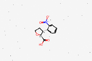 O=C(O)[C@H]1OCC[C@@H]1c1ccccc1[N+](=O)[O-]